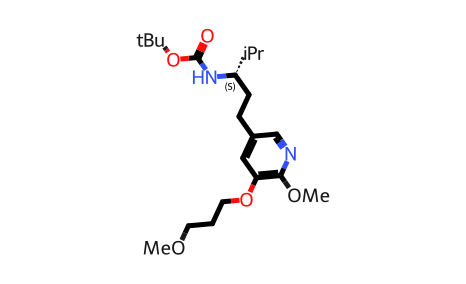 COCCCOc1cc(CC[C@H](NC(=O)OC(C)(C)C)C(C)C)cnc1OC